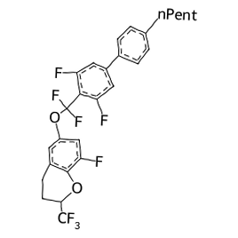 CCCCCc1ccc(-c2cc(F)c(C(F)(F)Oc3cc(F)c4c(c3)CCC(C(F)(F)F)O4)c(F)c2)cc1